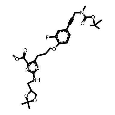 COC(=O)c1nc(NCC2COC(C)(C)O2)sc1CCCOc1ccc(C#CCN(C)C(=O)OC(C)(C)C)cc1F